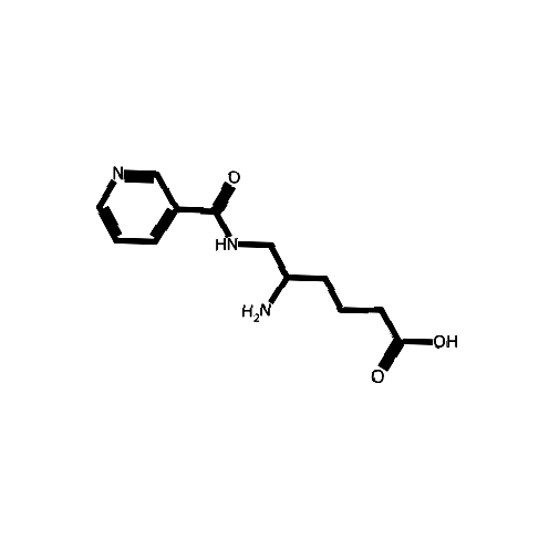 NC(CCCC(=O)O)CNC(=O)c1cccnc1